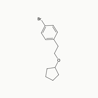 Brc1ccc(CCOC2CCCC2)cc1